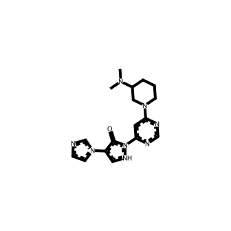 CN(C)C1CCCN(c2cc(-n3[nH]cc(-n4ccnc4)c3=O)ncn2)C1